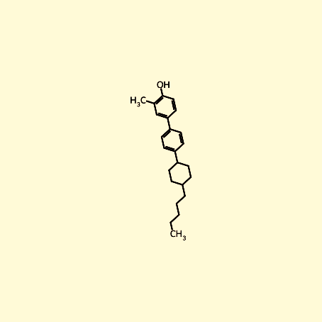 CCCCCC1CCC(c2ccc(-c3ccc(O)c(C)c3)cc2)CC1